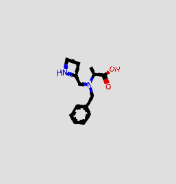 CC(C(=O)O)N(Cc1ccccc1)CC1CCN1